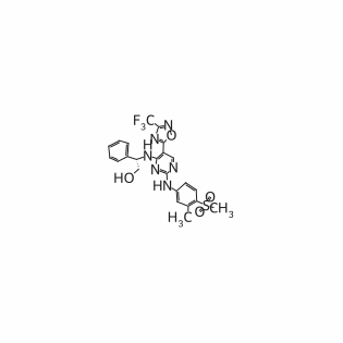 Cc1cc(Nc2ncc(-c3nc(C(F)(F)F)no3)c(N[C@H](CO)c3ccccc3)n2)ccc1S(C)(=O)=O